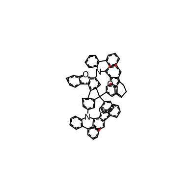 C1=Cc2oc3c(N(c4ccccc4-c4ccccc4)c4cc5c(c6c4oc4ccccc46)-c4ccc(N(c6ccccc6-c6ccccc6)c6cccc7c6oc6ccccc67)cc4C5(c4ccccc4)c4ccccc4)cccc3c2CC1